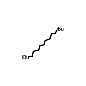 CCC(C)CCCCCCCCCC(C)CC